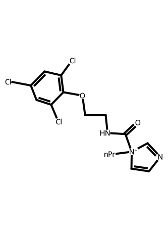 CCC[N+]1(C(=O)NCCOc2c(Cl)cc(Cl)cc2Cl)C=CN=C1